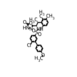 COc1ccc(-c2cc(S(=O)(=O)N[C@H](c3n[nH]c(=O)o3)[C@H](C)c3c(F)ccc(C)c3C)ccc2Cl)cc1